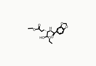 CCOC(=O)CC[C@H](NC(=O)c1ccc2c(c1)OCO2)C(O)OCC